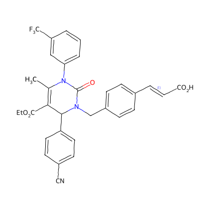 CCOC(=O)C1=C(C)N(c2cccc(C(F)(F)F)c2)C(=O)N(Cc2ccc(/C=C/C(=O)O)cc2)C1c1ccc(C#N)cc1